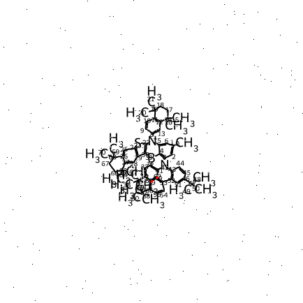 Cc1cc2c3c(c1)N(c1ccc4c(c1)C(C)(C)CCC4(C)C)c1sc4cc5c(cc4c1B3c1cc(C(C)(C)C)ccc1N2c1ccc(C(C)(C)C)cc1-c1ccc(C(C)(C)C)cc1)C(C)(C)CCC5(C)C